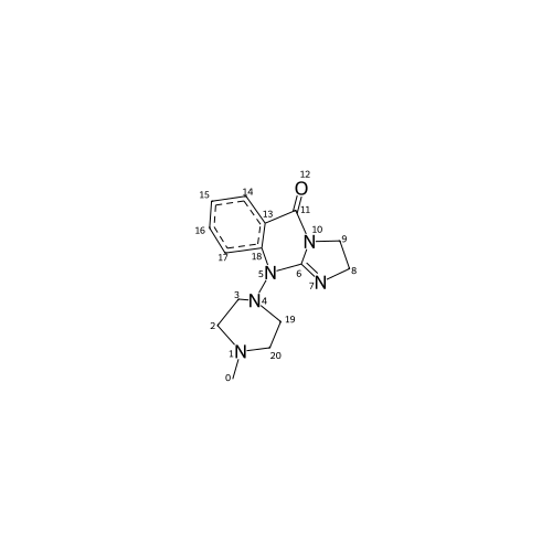 CN1CCN(N2C3=NCCN3C(=O)c3ccccc32)CC1